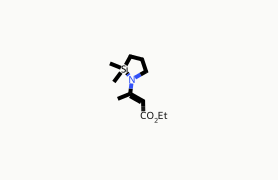 CCOC(=O)C=C(C)N1CCC[Si]1(C)C